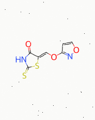 O=C1NC(=S)SC1=COc1ccon1